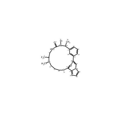 CCN1C(=O)NCC(C(F)(F)F)N(C)CCCOc2nc(cn3ccnc23)-c2cccc(c2)C1C